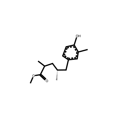 COC(=O)C(C)C[C@@H](C)Cc1ccc(O)c(C)c1